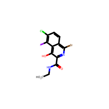 O=C(O)CNC(=O)c1nc(Br)c2ccc(Cl)c(I)c2c1O